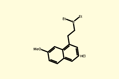 CCN(CC)CCc1cccc2ccc(OC)cc12.Cl